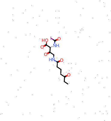 CCC(=O)CCCC(=O)NCC(=O)[C@@H](NC(=O)I)C(=O)O